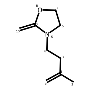 C=C(C)CCN1CCOC1=C